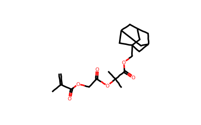 C=C(C)C(=O)OCC(=O)OC(C)(C)C(=O)OCC12CC3CC(CC(C3)C1)C2